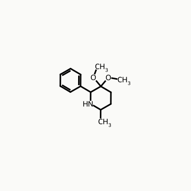 COC1(OC)CCC(C)NC1c1ccccc1